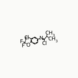 CC(C)C(Cl)=Nc1ccc(OC(F)(F)F)c(Cl)c1